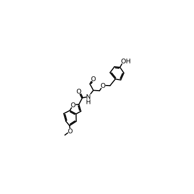 COc1ccc2oc(C(=O)NC(C=O)COCc3ccc(O)cc3)cc2c1